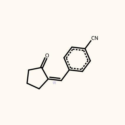 N#Cc1ccc(/C=C2/CCCC2=O)cc1